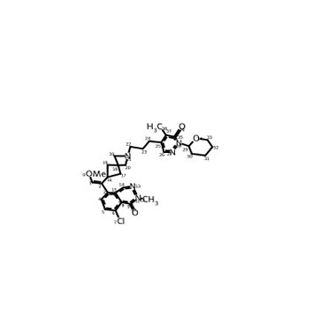 CO/C=C(/c1ccc(Cl)c2c(=O)n(C)ncc12)C1CC2(C1)CN(CCCc1cnn(C3CCCCO3)c(=O)c1C)C2